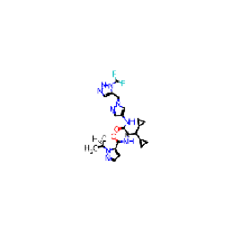 CC(C)n1nccc1C(=O)N[C@H](C(=O)Nc1cnn(Cc2cnnn2C(F)F)c1)C(C1CC1)C1CC1